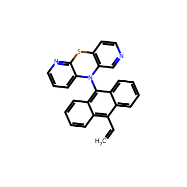 C=Cc1c2ccccc2c(N2c3cnccc3Sc3ncccc32)c2ccccc12